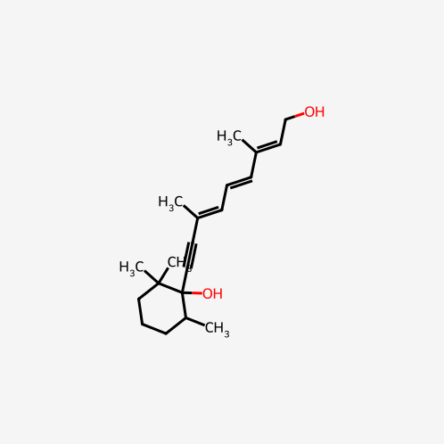 C\C(C#CC1(O)C(C)CCCC1(C)C)=C/C=C/C(C)=C/CO